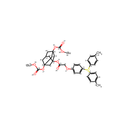 Cc1ccc([S+](c2ccc(C)cc2)c2ccc(OCC(=O)OC34CC5CC(OC(=O)OC(C)(C)C)(C3)CC(OC(=O)OC(C)(C)C)(C5)C4)cc2)cc1